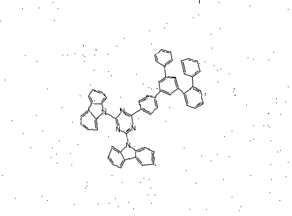 c1ccc(-c2cc(-c3ccc(-c4nc(-n5c6ccccc6c6ccccc65)nc(-n5c6ccccc6c6ccccc65)n4)cc3)cc(-c3ccccc3-c3ccccc3)c2)cc1